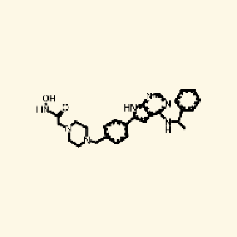 CC(Nc1ncnc2[nH]c(-c3ccc(CN4CCN(CC(=O)NO)CC4)cc3)cc12)c1ccccc1